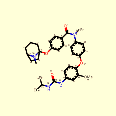 CCCN(C(=O)c1ccc(OC23CCCC(CC2)N3C)cc1)c1ccc(Oc2ccc(NC(=O)NC(CC)CC)cc2OC)cc1